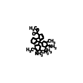 COC(=O)c1cccc2c1-c1ccccc1C2(c1cc(C)c(N)c(C)c1)c1cc(C)c(N)c(C)c1